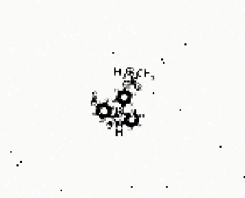 COc1ccc(S(=O)(=O)Nc2cccnc2Nc2ccc(OC(=O)N(C)C)cc2)cc1